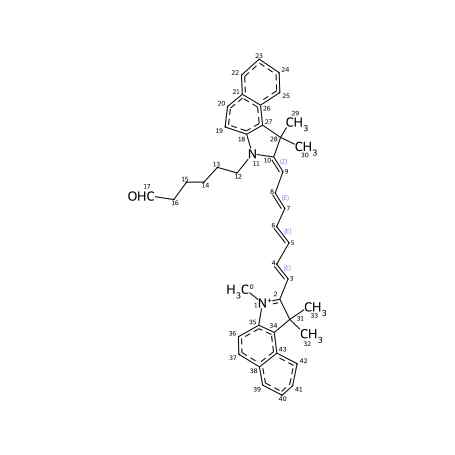 C[N+]1=C(/C=C/C=C/C=C/C=C2\N(CCCCCC=O)c3ccc4ccccc4c3C2(C)C)C(C)(C)c2c1ccc1ccccc21